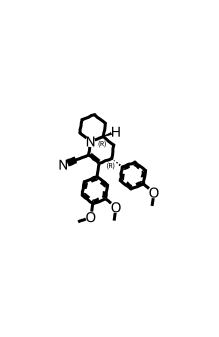 COc1ccc([C@H]2C[C@H]3CCCCN3C(C#N)=C2c2ccc(OC)c(OC)c2)cc1